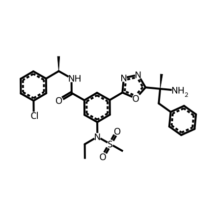 CCN(c1cc(C(=O)N[C@H](C)c2cccc(Cl)c2)cc(-c2nnc([C@](C)(N)Cc3ccccc3)o2)c1)S(C)(=O)=O